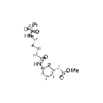 COC(=O)Cc1cccc(NC(=O)CCCCNS(=O)(=O)C(C)C)c1